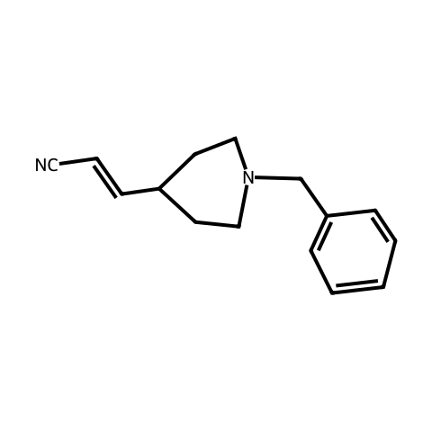 N#CC=CC1CCN(Cc2ccccc2)CC1